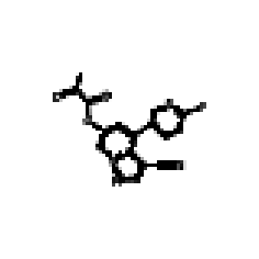 CC(=O)C(=O)Oc1cc(-c2ccc(F)nc2)c2c(C#N)cnn2c1